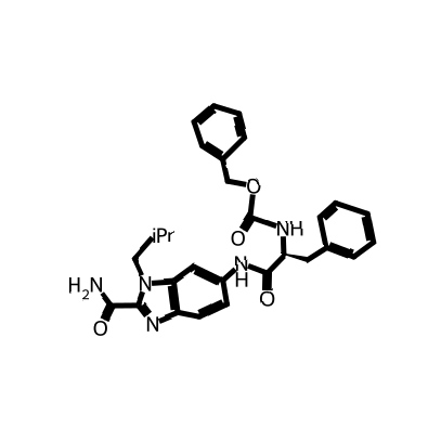 CC(C)Cn1c(C(N)=O)nc2ccc(NC(=O)[C@H](Cc3ccccc3)NC(=O)OCc3ccccc3)cc21